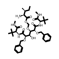 CC[C@H](C)[C@H](N)C(=O)OCO[C@H]([C@@H](O)[C@@H](OCc1ccccc1)C(=O)N[C@H](C(=O)NC)C(C)(C)C)[C@@H](OCc1ccccc1)C(=O)N[C@H](C(=O)NC)C(C)(C)C